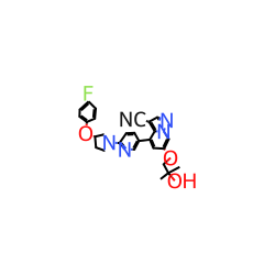 CC(C)(O)COc1cc(-c2ccc(N3CC[C@H](Oc4ccc(F)cc4)C3)nc2)c2c(C#N)cnn2c1